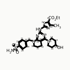 CCOC(=O)c1sc(Nc2nc(N3CCC(O)CC3)c3c(n2)N(Cc2ccc(S(N)(=O)=O)cc2)CCC3)nc1C